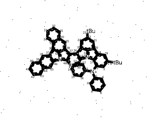 CC(C)(C)c1cc(N(c2ccccc2)c2ccccc2)c2c(c1)c1cc(C(C)(C)C)cc3c4c5c6cc7ccccc7c7c8cc9ccccc9cc8n(c5ncc4n2c13)c67